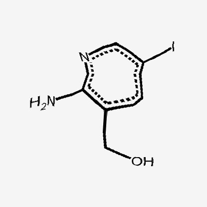 Nc1ncc(I)cc1CO